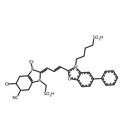 CCN1C(=CC=Cc2oc3ccc(-c4ccccc4)cc3[n+]2CCCCS(=O)(=O)O)N(CS(=O)(=O)O)C2=C1CC(Cl)C(C#N)C2